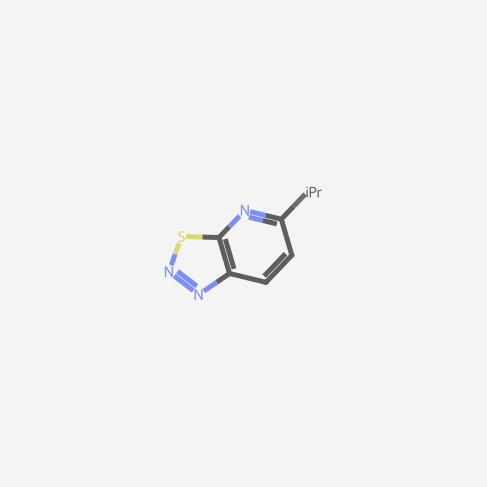 CC(C)c1ccc2nnsc2n1